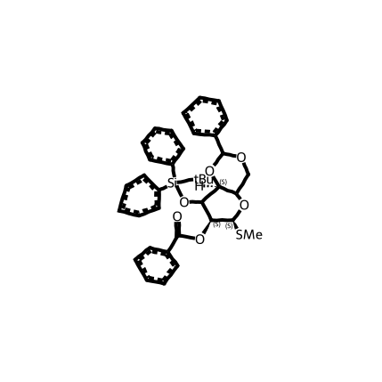 CS[C@@H]1OC2COC(c3ccccc3)O[C@@H]2C(O[Si](c2ccccc2)(c2ccccc2)C(C)(C)C)[C@@H]1OC(=O)c1ccccc1